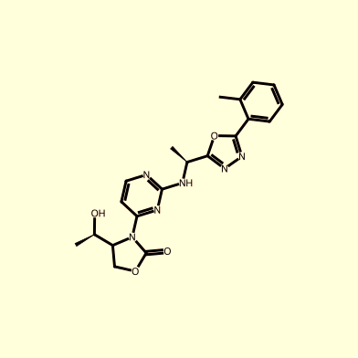 Cc1ccccc1-c1nnc([C@H](C)Nc2nccc(N3C(=O)OCC3[C@@H](C)O)n2)o1